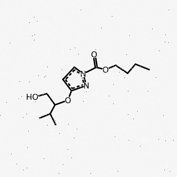 CCCCOC(=O)n1ccc(OC(CO)C(C)C)n1